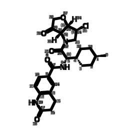 C[C@H]1CC[C@H]([C@H](NC(=O)c2ccc3c(c2)CCC(=O)N3)C(=O)N2C[C@H](Cl)[C@H]3OCC(=O)[C@H]32)CC1